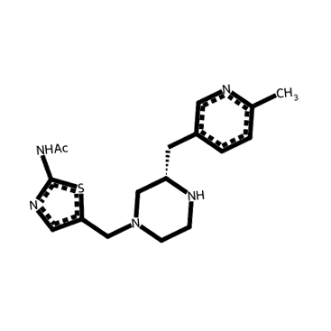 CC(=O)Nc1ncc(CN2CCN[C@@H](Cc3ccc(C)nc3)C2)s1